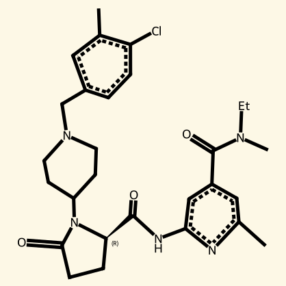 CCN(C)C(=O)c1cc(C)nc(NC(=O)[C@H]2CCC(=O)N2C2CCN(Cc3ccc(Cl)c(C)c3)CC2)c1